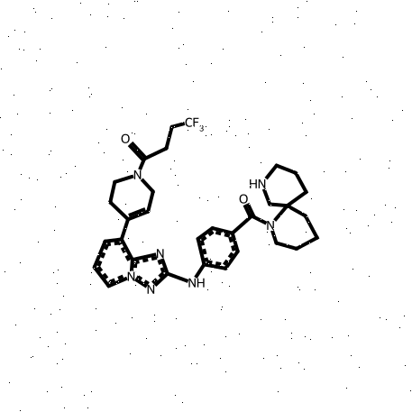 O=C(CCC(F)(F)F)N1CC=C(c2cccn3nc(Nc4ccc(C(=O)N5CCCCC56CCCNC6)cc4)nc23)CC1